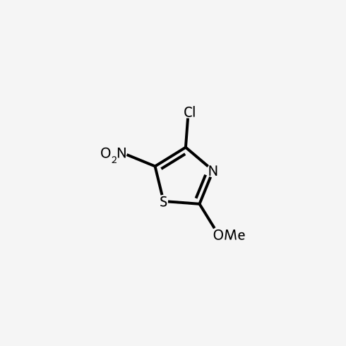 COc1nc(Cl)c([N+](=O)[O-])s1